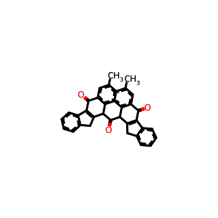 Cc1cc2c3c4c5c(cc(C)c14)C(=O)C1=C(Cc4ccccc41)C5C(=O)C3C1=C(C2=O)c2ccccc2C1